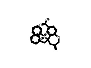 C=C1COc2ccc(C(=O)O)cc2C(Cc2ccccc2)(S(=O)(=O)c2ccccc2)C1